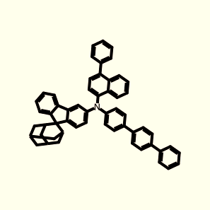 c1ccc(-c2ccc(-c3ccc(N(c4ccc5c(c4)-c4ccccc4C54C5CC6CC(C5)CC4C6)c4ccc(-c5ccccc5)c5ccccc45)cc3)cc2)cc1